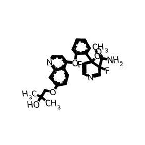 COC1(c2ccccc2Oc2ccnc3cc(OCC(C)(C)O)ccc23)C(F)=CN=CC1(F)C(N)=O